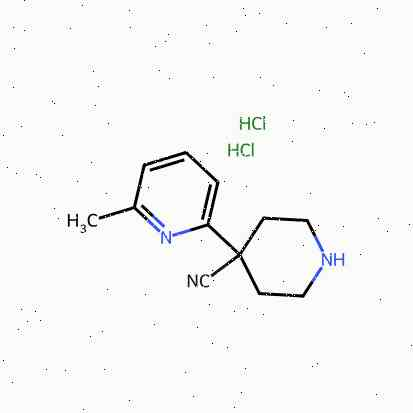 Cc1cccc(C2(C#N)CCNCC2)n1.Cl.Cl